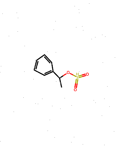 CC(O[SH](=O)=O)c1cc[c]cc1